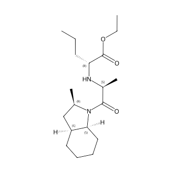 CCC[C@@H](N[C@@H](C)C(=O)N1[C@H](C)C[C@@H]2CCCC[C@@H]21)C(=O)OCC